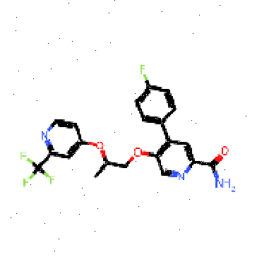 CC(COc1cnc(C(N)=O)cc1-c1ccc(F)cc1)Oc1ccnc(C(F)(F)F)c1